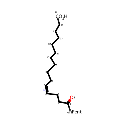 CCCCCC(=O)CC/C=C\CCCCCCCCCC(=O)O